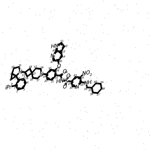 CC(C)c1ccccc1C12CC1CCN2C1CC2(CCN(c3ccc(C(=O)NS(=O)(=O)c4cnc(NCC5CCCCC5)c([N+](=O)[O-])c4)c(Oc4cnc5[nH]ccc5c4)c3)CC2)C1